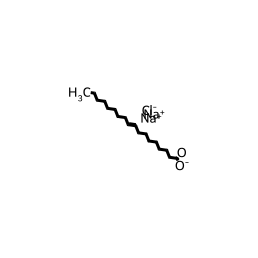 CCCCCCCCC=CCCCCCCCC(=O)[O-].[Cl-].[Na+].[Na+]